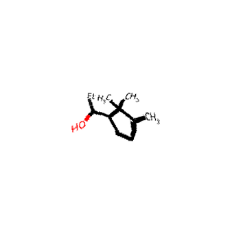 CCC(O)C1CC=C(C)C1(C)C